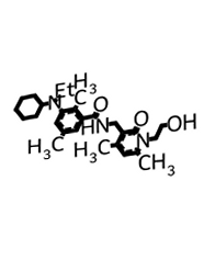 CCN(c1cc(C)cc(C(=O)NCc2c(C)cc(C)n(CCO)c2=O)c1C)C1CCCCC1